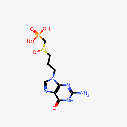 Nc1nc2c(ncn2CCC[S+]([O-])CP(=O)(O)O)c(=O)[nH]1